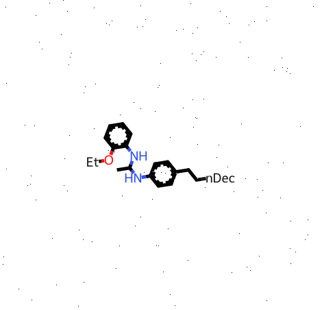 CCCCCCCCCCCCc1ccc(NC(C)Nc2ccccc2OCC)cc1